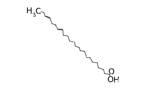 CCC=CCCC=CCCCCCCCCCCCCCCCC(=O)O